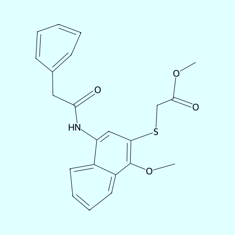 COC(=O)CSc1cc(NC(=O)Cc2ccccc2)c2ccccc2c1OC